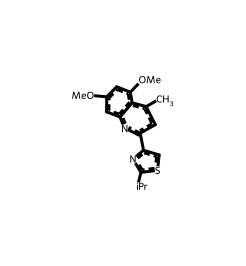 COc1cc(OC)c2c(C)cc(-c3csc(C(C)C)n3)nc2c1